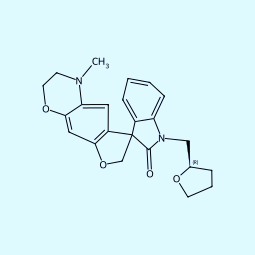 CN1CCOc2cc3c(cc21)C1(CO3)C(=O)N(C[C@H]2CCCO2)c2ccccc21